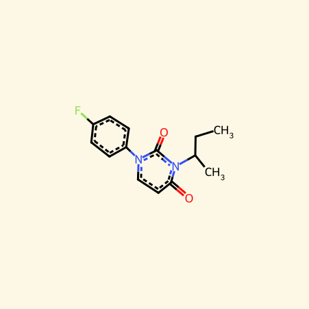 CCC(C)n1c(=O)ccn(-c2ccc(F)cc2)c1=O